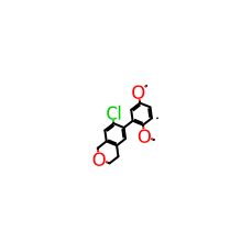 COc1c[c]c(OC)c(-c2cc3c(cc2Cl)COCC3)c1